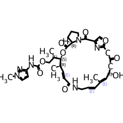 CC1=C\[C@@H](O)CC(=O)Cc2nc(co2)C(=O)N2CCC[C@@H]2C(=O)O[C@H]([C@@H](C)COC(=O)Nc2ccn(C)n2)[C@H](C)/C=C/C(=O)NC\C=C\1